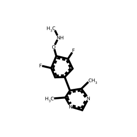 CNOc1c(F)cc(-c2c(C)ncnc2C)cc1F